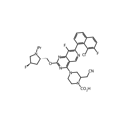 CC(C)N1C[C@H](F)C[C@H]1COc1nc(N2CCN(C(=O)O)C(CC#N)C2)c2cnc(-c3cccc4ccc(F)c(Cl)c34)c(F)c2n1